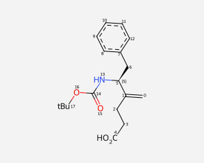 C=C(CCC(=O)O)[C@H](Cc1ccccc1)NC(=O)OC(C)(C)C